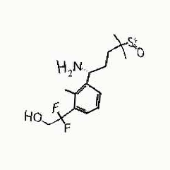 Cc1c([C@H](N)CCC(C)(C)[S+]=O)cccc1C(F)(F)CO